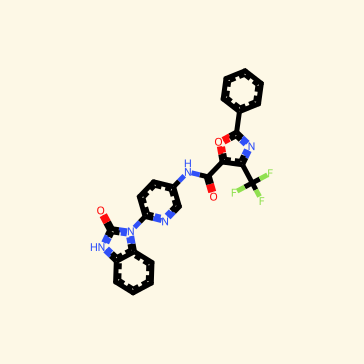 O=C(Nc1ccc(-n2c(=O)[nH]c3ccccc32)nc1)c1oc(-c2ccccc2)nc1C(F)(F)F